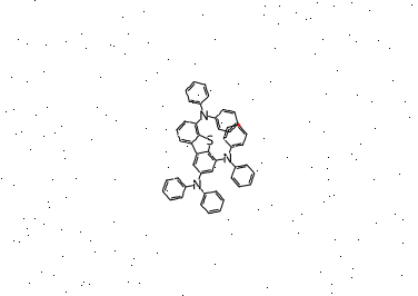 c1ccc(N(c2ccccc2)c2cc(N(c3ccccc3)c3ccccc3)c3sc4c(N(c5ccccc5)c5ccccc5)cccc4c3c2)cc1